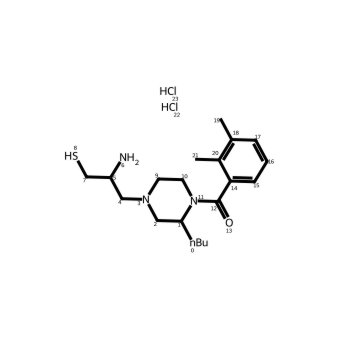 CCCCC1CN(CC(N)CS)CCN1C(=O)c1cccc(C)c1C.Cl.Cl